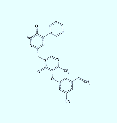 C=Cc1cc(C#N)cc(Oc2c(C(F)(F)F)ncn(Cc3cc(-c4ccccc4)c(=O)[nH]n3)c2=O)c1